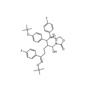 C[Si](C)(C)O/N=C(/CCC(C(Nc1ccc(F)cc1)c1ccc(O[Si](C)(C)C)cc1)C(O)N1C(=O)OC[C@@H]1P)c1ccc(F)cc1